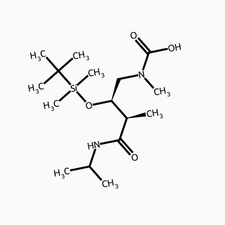 CC(C)NC(=O)[C@H](C)[C@H](CN(C)C(=O)O)O[Si](C)(C)C(C)(C)C